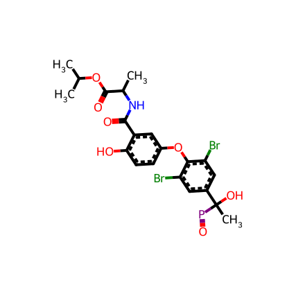 CC(C)OC(=O)C(C)NC(=O)c1cc(Oc2c(Br)cc(C(C)(O)P=O)cc2Br)ccc1O